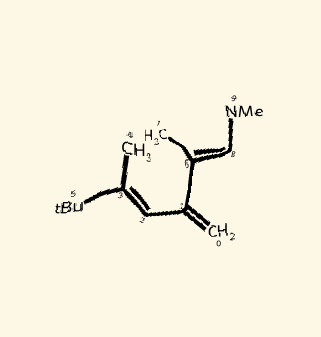 C=C(/C=C(\C)C(C)(C)C)/C(C)=C/NC